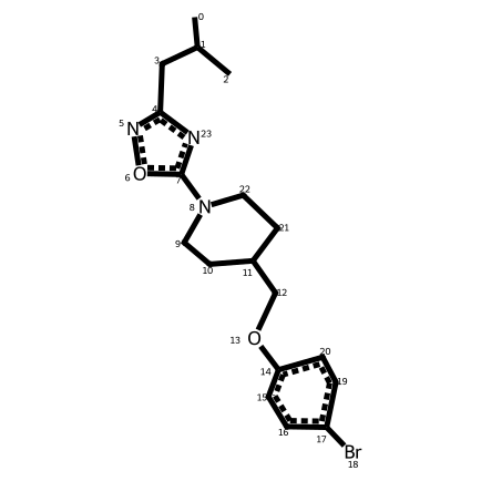 CC(C)Cc1noc(N2CCC(COc3ccc(Br)cc3)CC2)n1